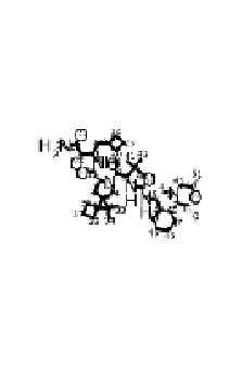 C[C@@H]1CN(C[C@@H](NC(=O)N[C@H](C(=O)N2CC3(C[C@H]2C(=O)NC(CC2CCC2)C(=O)C(N)=O)C(C)(C)C32CCC2)C(C)(C)C)C2CCCCC2)C[C@H](C)O1